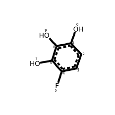 Oc1c[c]c(F)c(O)c1O